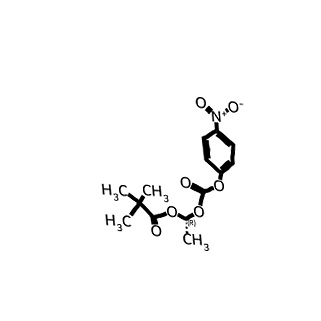 C[C@@H](OC(=O)Oc1ccc([N+](=O)[O-])cc1)OC(=O)C(C)(C)C